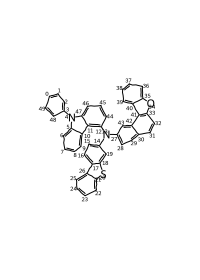 c1ccc(-n2c3ccccc3c3c(N(c4ccc5c(c4)sc4ccccc45)c4ccc5ccc6oc7ccccc7c6c5c4)cccc32)cc1